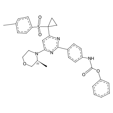 Cc1ccc(S(=O)(=O)C2(c3cc(N4CCOC[C@@H]4C)nc(-c4ccc(NC(=O)Oc5ccccc5)cc4)n3)CC2)cc1